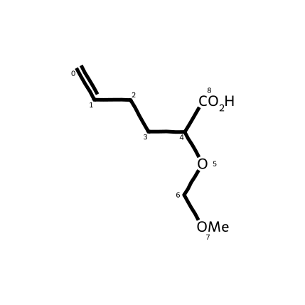 C=CCCC(OCOC)C(=O)O